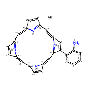 Nc1ccccc1C1=CC2=CC3=NC(=CC4=NC(=CC5=NC(=CC1=N2)C=C5)C=C4)C=C3.[Ni]